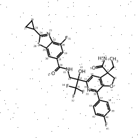 CC[C@@]1(C(N)=O)COc2c1cc(C(O)(CNC(=O)c1cc(F)c3nc(C4CC4)sc3c1)C(F)(F)F)nc2-c1ccc(F)cc1